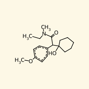 CCN(C)C(=O)C(c1ccc(OC)cc1)C1(O)CCCCC1